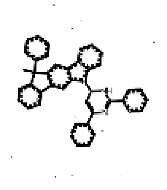 CC1(c2ccccc2)c2ccccc2-c2cc3c(cc21)c1ccccc1n3C1C=C(c2ccccc2)N=C(c2ccccc2)N1